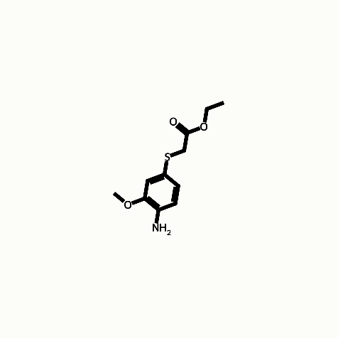 CCOC(=O)CSc1ccc(N)c(OC)c1